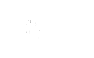 NC(Cl)(Cl)C(=O)C(Cc1ccccc1)=C(c1ccccc1)c1ccccc1